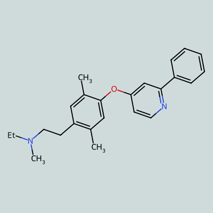 CCN(C)CCc1cc(C)c(Oc2ccnc(-c3ccccc3)c2)cc1C